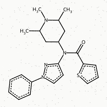 CC1CC(N(C(=O)c2cccs2)c2ccn(-c3ccccc3)n2)CC(C)N1C